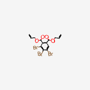 C=CCOC(=O)c1cc(Br)c(Br)c(Br)c1C(=O)OCC=C